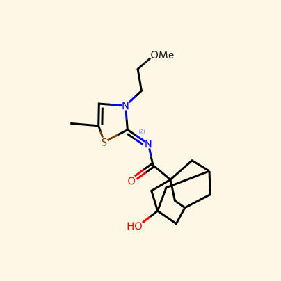 COCCn1cc(C)s/c1=N\C(=O)C12CC3CC(CC(O)(C3)C1)C2